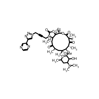 CC[C@H]1OC(=O)[C@@](C)(F)C(=O)[C@H](C)[C@@H](O[C@@H]2OC(C)CC(N(C)C)C2O)[C@](C)(OC)C[C@@H](C)C(=O)[C@H](C)[C@H]2N(CC#CCn3cc(-c4cnccn4)nn3)C(=O)O[C@]12C